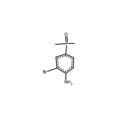 CP(C)(=O)c1ccc(N)c(Br)c1